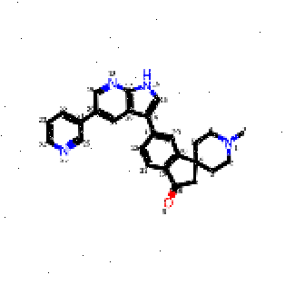 CN1CCC2(CC1)CC(=O)c1ccc(-c3c[nH]c4ncc(-c5cccnc5)cc34)cc12